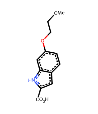 COCCOc1ccc2cc(C(=O)O)[nH]c2c1